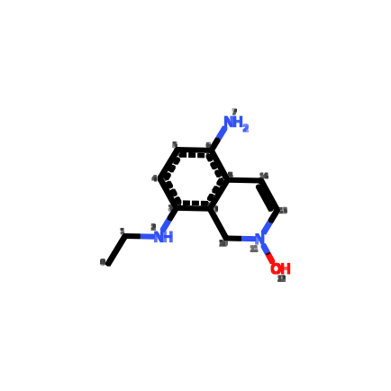 CCNc1ccc(N)c2c1CN(O)C=C2